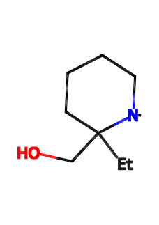 CCC1(CO)CCCC[N]1